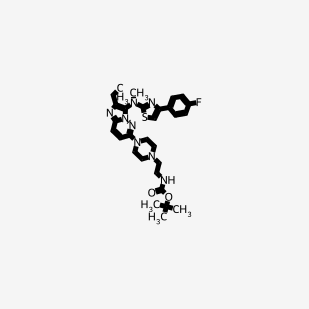 CCc1nc2ccc(N3CCN(CCNC(=O)OC(C)(C)C)CC3)nn2c1N(C)c1nc(-c2ccc(F)cc2)cs1